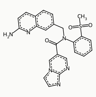 CS(=O)(=O)c1ccccc1N(Cc1ccc2ccc(N)nc2c1)C(=O)c1cnc2nccn2c1